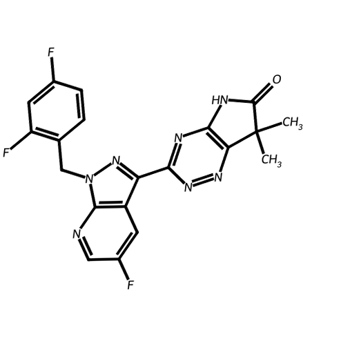 CC1(C)C(=O)Nc2nc(-c3nn(Cc4ccc(F)cc4F)c4ncc(F)cc34)nnc21